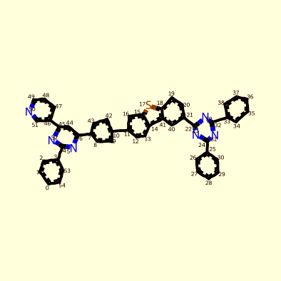 c1ccc(-c2nc(-c3ccc(-c4ccc5c(c4)sc4ccc(-c6nc(-c7ccccc7)nc(-c7ccccc7)n6)cc45)cc3)cc(-c3cccnc3)n2)cc1